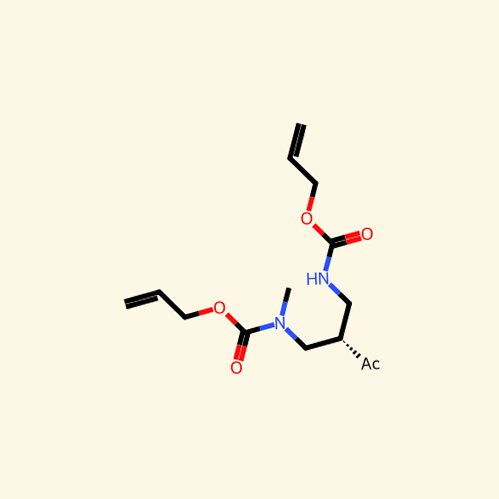 C=CCOC(=O)NC[C@@H](CN(C)C(=O)OCC=C)C(C)=O